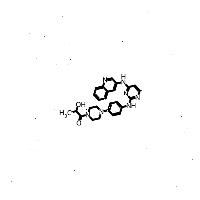 CC(O)C(=O)N1CCN(c2ccc(Nc3nccc(Nc4cnc5ccccc5c4)n3)cc2)CC1